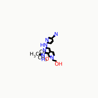 CC(C)(C)Nc1nc(Nc2ccc(C#N)cn2)cc2ccn(CCO)c(=O)c12